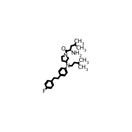 CC(C)CCN(c1ccc(CCc2ccc(F)cc2)cc1)C1CCN(C(=O)[C@@H](N)CC(C)C)C1